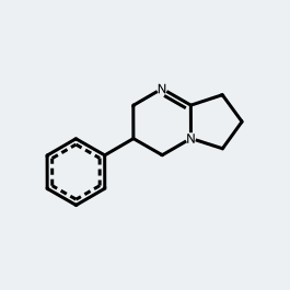 c1ccc(C2CN=C3CCCN3C2)cc1